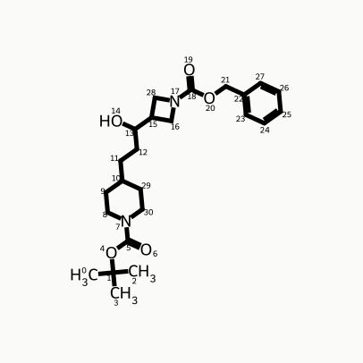 CC(C)(C)OC(=O)N1CCC(CCC(O)C2CN(C(=O)OCc3ccccc3)C2)CC1